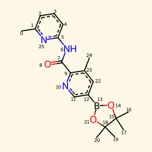 Cc1cccc(NC(=O)c2ncc(B3OC(C)(C)C(C)(C)O3)cc2C)n1